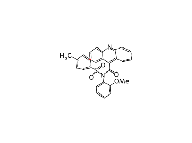 COc1ccccc1N(C(=O)c1c2ccccc2nc2ccccc12)S(=O)(=O)c1ccc(C)cc1